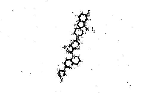 Cn1cc(-c2ccc3c(n2)CCCN3c2n[nH]c3nc(N4CCC5(CC4)Cc4ccc(F)cc4[C@H]5N)cnc23)cn1